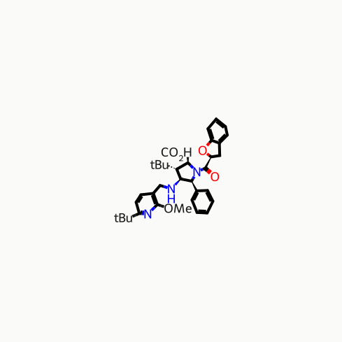 COc1nc(C(C)(C)C)ccc1CN[C@H]1[C@H](C(C)(C)C)[C@@H](C(=O)O)N(C(=O)[C@@H]2Cc3ccccc3O2)[C@H]1c1ccccc1